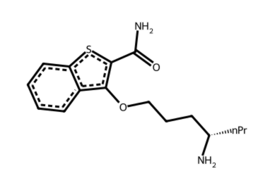 CCC[C@H](N)CCCOc1c(C(N)=O)sc2ccccc12